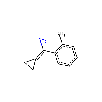 Cc1ccccc1C(N)=C1CC1